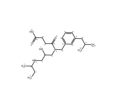 CCC(C)NCC(O)CN(Cc1cccc(CC(C)C)c1)C(=O)CCC(=O)O